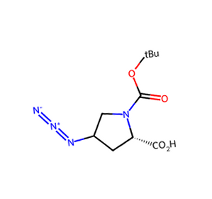 CC(C)(C)OC(=O)N1CC(N=[N+]=[N-])C[C@H]1C(=O)O